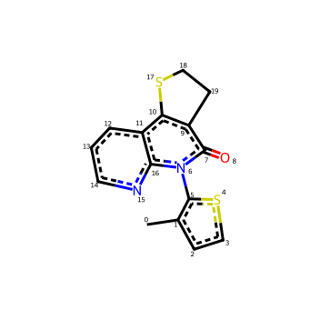 Cc1ccsc1-n1c(=O)c2c(c3cccnc31)SCC2